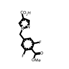 COC(=O)c1c(F)cc(Cn2cc(C(=O)O)cn2)cc1F